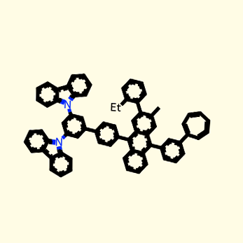 CCc1ccccc1-c1cc2c(-c3ccc(-c4cc(-n5c6ccccc6c6ccccc65)cc(-n5c6ccccc6c6ccccc65)c4)cc3)c3ccccc3c(-c3cccc(C4=CC=CC=C=C4)c3)c2cc1C